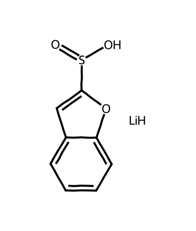 O=S(O)c1cc2ccccc2o1.[LiH]